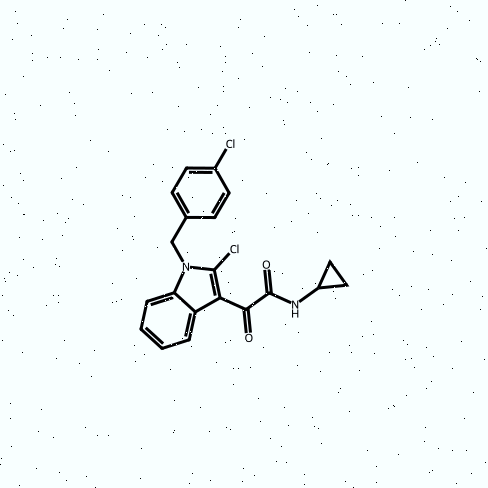 O=C(NC1CC1)C(=O)c1c(Cl)n(Cc2ccc(Cl)cc2)c2ccccc12